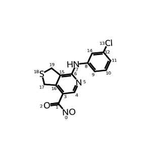 O=NC(=O)c1cnc(Nc2cccc(Cl)c2)c2c1CSC2